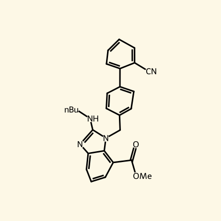 CCCCNc1nc2cccc(C(=O)OC)c2n1Cc1ccc(-c2ccccc2C#N)cc1